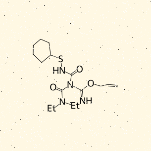 C=CCOC(=N)N(C(=O)NSC1CCCCC1)C(=O)N(CC)CC